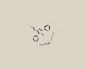 CCCCCCCCCCCC=CC1=C(c2cccc(CCCCCC)c2)[N+](=[N-])C(c2cccc(CCCCCC)c2)=C1CCCCCCCC.CCCCCCCCCCCCC[CH2][Ni][CH2]CCCCCCCCCCCCC